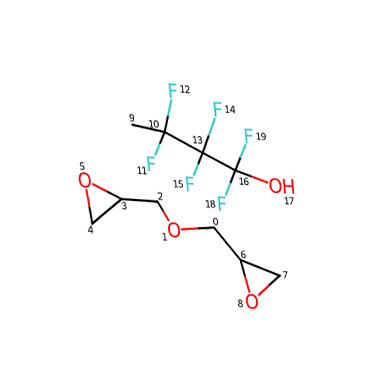 C(OCC1CO1)C1CO1.CC(F)(F)C(F)(F)C(O)(F)F